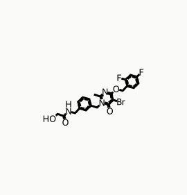 Cc1nc(OCc2ccc(F)cc2F)c(Br)c(=O)n1Cc1cccc(CNC(=O)CO)c1